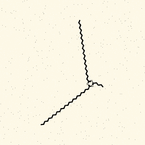 [CH2]CCCc1nc(CCCCCCCCCCCCCCCCCCCCCCCC)nc(CCCCCCCCCCCCCCCCCCCCCCCC)n1